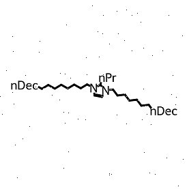 CCCCCCCCCCCCCCCCCCN1C=CN(CCCCCCCCCCCCCCCCC)C1CCC